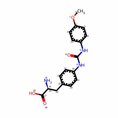 COc1ccc(NC(=O)Nc2ccc(C[C@H](N)C(=O)O)cc2)cc1